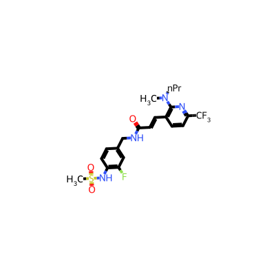 CCCN(C)c1nc(C(F)(F)F)ccc1C=CC(=O)NCc1ccc(NS(C)(=O)=O)c(F)c1